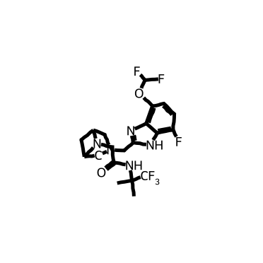 CC(C)(NC(=O)CN1C2CC1CN(Cc1nc3c(OC(F)F)ccc(F)c3[nH]1)C2)C(F)(F)F